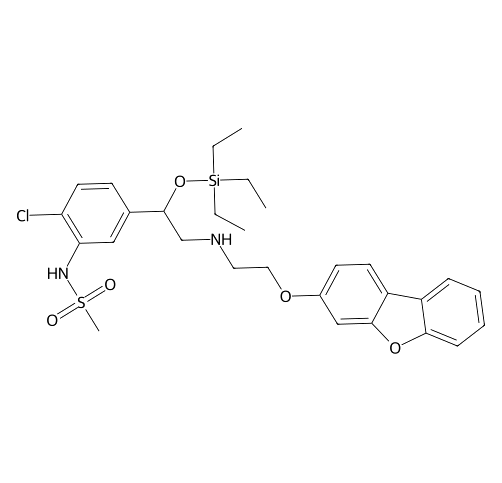 CC[Si](CC)(CC)OC(CNCCOc1ccc2c(c1)oc1ccccc12)c1ccc(Cl)c(NS(C)(=O)=O)c1